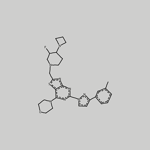 Cc1cccc(-c2ccn(-c3nc(N4CCOCC4)c4sc(CN5CCC(N6CCC6)C(F)C5)nc4n3)n2)c1